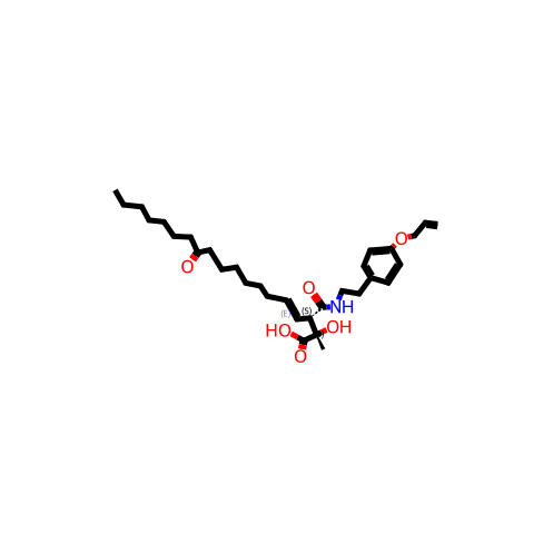 C=CCOc1ccc(CCNC(=O)[C@@H](/C=C/CCCCCCC(=O)CCCCCCC)[C@](C)(O)C(=O)O)cc1